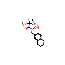 CC(C)(C)C(=O)N(O)Cc1ccc2c(c1)CCCC2